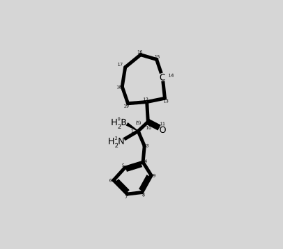 B[C@](N)(Cc1ccccc1)C(=O)C1CCCCCCC1